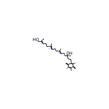 C=c1c(C)c(C)c(=C)c(CCC(C)(O)CC/C=C(\C)CC/C=C(\C)CC/C=C(\C)CO)c1C